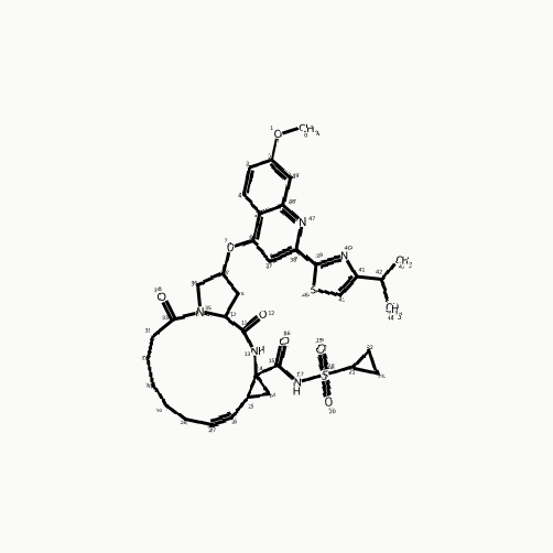 COc1ccc2c(OC3CC4C(=O)NC5(C(=O)NS(=O)(=O)C6CC6)CC5C=CCCCCCC(=O)N4C3)cc(-c3nc(C(C)C)cs3)nc2c1